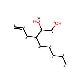 C=CC[C](CCCCC)C(O)CO